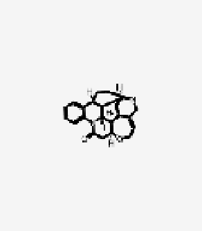 O=C1C[C@@H]2OCC=C3CN4CC[C@@H]5c6ccccc6N1[C@H]1C2[C@H]3C[C@H]4C15